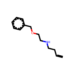 C=CCCNCCOCc1ccccc1